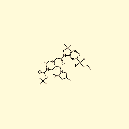 CCCC(F)(F)c1cc2c(cn1)C(C)(C)CN2C(=O)CN1C[C@@H](C)N(C(=O)OC(C)(C)C)C[C@@H]1CN1CC(C)CC1=O